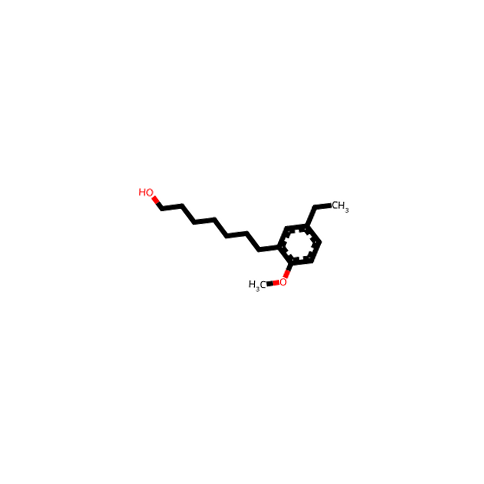 CCc1ccc(OC)c(CCCCCCCO)c1